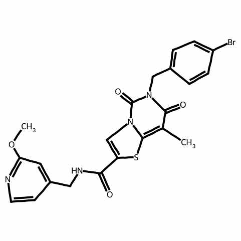 COc1cc(CNC(=O)c2cn3c(=O)n(Cc4ccc(Br)cc4)c(=O)c(C)c3s2)ccn1